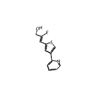 OCC(F)=Cc1cc(-c2ccccn2)cs1